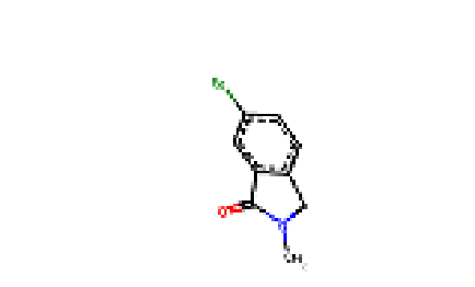 CN1Cc2ccc(Br)cc2C1=O